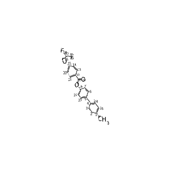 Cc1ccc(-c2ccc(OC(=O)c3ccc(OC(F)F)cc3)cc2)cc1